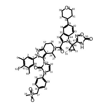 Cc1cc(-n2nc3c(c2-n2ccn(-c4ccc(CS(C)(=O)=O)cc4)c2=O)C(C)N(C(=O)c2cc4cc(C5CCOCC5)ccc4n2[C@@]2(c4noc(=O)[nH]4)C[C@@H]2C)CC3)cc(C)c1F